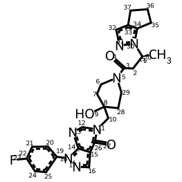 C[C@@H](CC(=O)N1CCC(O)(Cn2cnc3c(cnn3-c3ccc(F)cc3)c2=O)CC1)n1ncc2c1CCC2